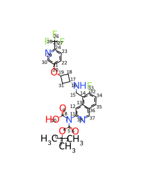 CC(C)(C)OC(=O)N(C(=O)O)c1cc2c(CN[C@H]3C[C@H](Oc4ccc(C(F)(F)F)nc4)C3)c(F)ccc2cn1